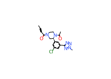 CC#CC(=O)N1CCN(C(C)=O)[C@@H](c2cc(Cl)cc(-c3nnn(C)n3)c2)C1